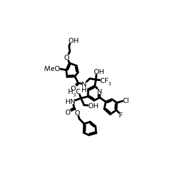 COc1cc(C(=O)NCC(O)(c2cc(C(C)(CO)NC(=O)OCc3ccccc3)cc(-c3ccc(F)c(Cl)c3)n2)C(F)(F)F)ccc1OCCO